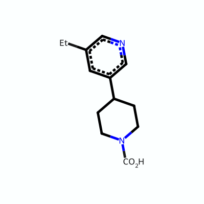 CCc1cncc(C2CCN(C(=O)O)CC2)c1